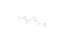 CS(=O)(=O)NCc1cc(F)cc(-c2ccnc3[nH]c(-c4n[nH]c5ncc(-c6cncc(NC(=O)c7ccccc7)c6)c(F)c45)nc23)c1